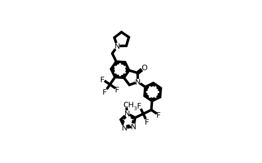 Cn1cnnc1C(F)(F)C(F)c1cccc(N2Cc3c(cc(CN4CCCC4)cc3C(F)(F)F)C2=O)c1